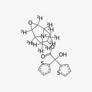 [2H]C12OC1([2H])C1([2H])CC(OC(=O)C(O)(c3cccs3)c3cccs3)CC2([2H])[N+]1(C([2H])([2H])[2H])C([2H])([2H])[2H]